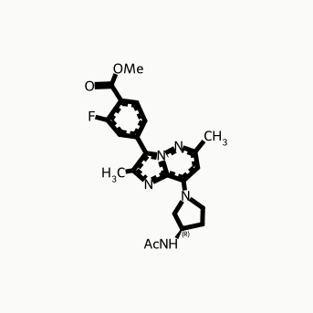 COC(=O)c1ccc(-c2c(C)nc3c(N4CC[C@@H](NC(C)=O)C4)cc(C)nn23)cc1F